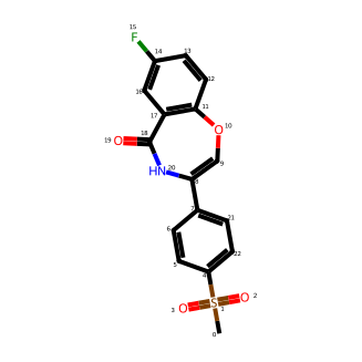 CS(=O)(=O)c1ccc(C2=COc3ccc(F)cc3C(=O)N2)cc1